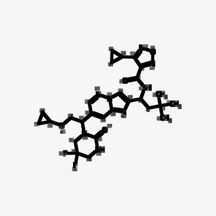 CC(C)(C)CC(NC(=O)c1nonc1C1CC1)c1cn2ncc(C(COC3CC3)N3CC(F)(F)CNC3=O)cc2n1